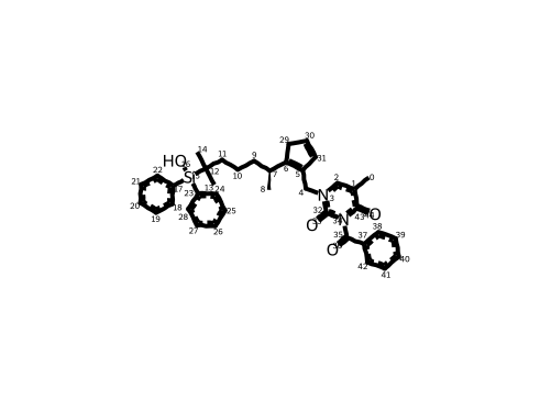 Cc1cn(CC2=C([C@@H](C)CCCC(C)(C)[Si](O)(c3ccccc3)c3ccccc3)CC=C2)c(=O)n(C(=O)c2ccccc2)c1=O